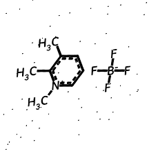 Cc1ccc[n+](C)c1C.F[B-](F)(F)F